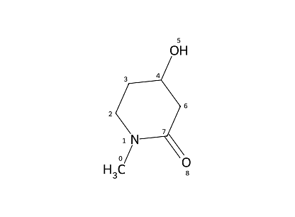 CN1CCC(O)CC1=O